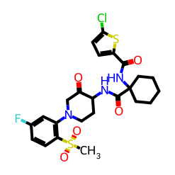 CS(=O)(=O)c1ccc(F)cc1N1CCC(NC(=O)C2(NC(=O)c3ccc(Cl)s3)CCCCC2)C(=O)C1